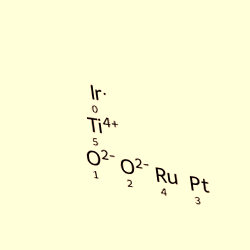 [Ir].[O-2].[O-2].[Pt].[Ru].[Ti+4]